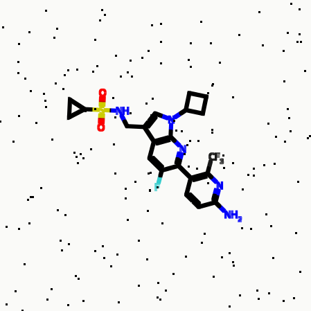 Nc1ccc(-c2nc3c(cc2F)c(CNS(=O)(=O)C2CC2)cn3C2CCC2)c(C(F)(F)F)n1